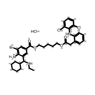 CCNC(c1cc(C(=O)OCCCCCOC(=O)Cc2ccccc2Nc2c(Cl)cccc2Cl)cc(Br)c1N)C1CCCCC1.Cl